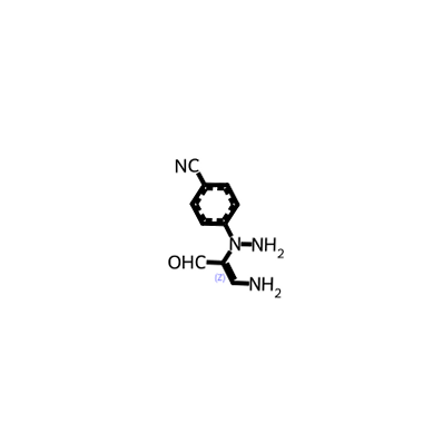 N#Cc1ccc(N(N)/C(C=O)=C\N)cc1